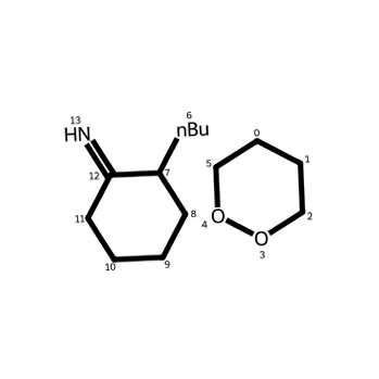 C1CCOOC1.CCCCC1CCCCC1=N